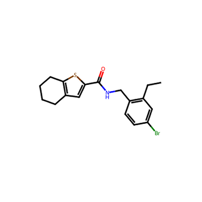 CCc1cc(Br)ccc1CNC(=O)c1cc2c(s1)CCCC2